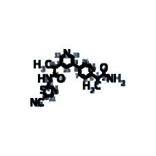 C=C(C(N)=O)c1ccc(-c2cncc(C(C)C(=O)Nc3ncc(C#N)s3)c2)cn1